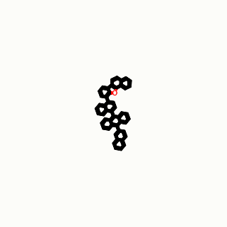 c1ccc2cc(-c3c4ccccc4c(-c4ccc(-c5cccc6c5oc5c7ccccc7ccc65)c5ccccc45)c4ccccc34)ccc2c1